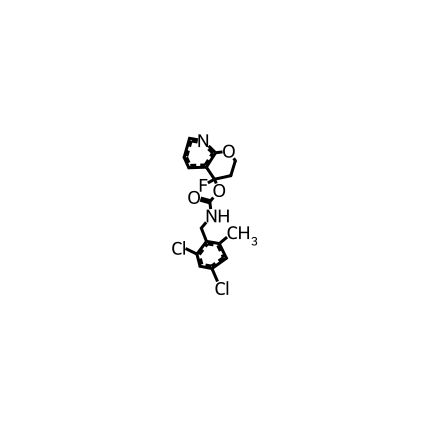 Cc1cc(Cl)cc(Cl)c1CNC(=O)OC1(F)CCOc2ncccc21